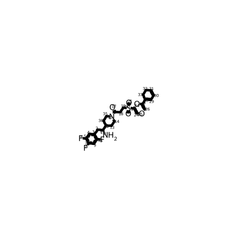 N[C@H](Cc1cc(F)c(F)cc1F)C1CCN(C(=O)CCS(=O)(=O)C2=COC=C(C3=CC=CCC3)O2)CC1